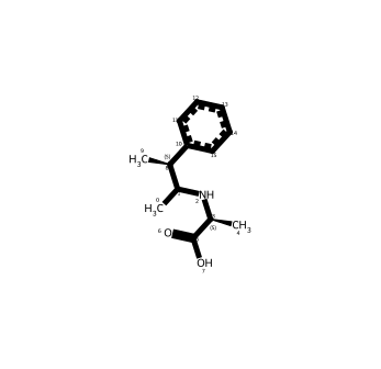 CC(N[C@@H](C)C(=O)O)[C@@H](C)c1ccccc1